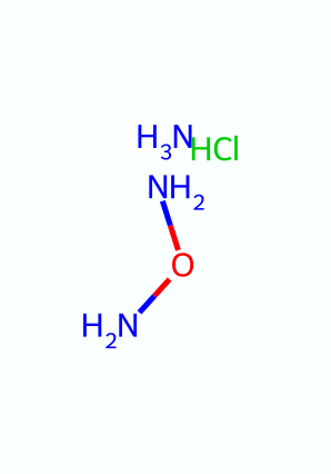 Cl.N.NON